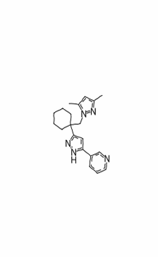 Cc1cc(C)n(CC2(c3cc(-c4cccnc4)[nH]n3)CCCCC2)n1